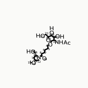 CC(=O)NC1C(OCCCCCC(=O)N2C[C@H](OI)C[C@H]2CO)OC(CO)C(O)C1O